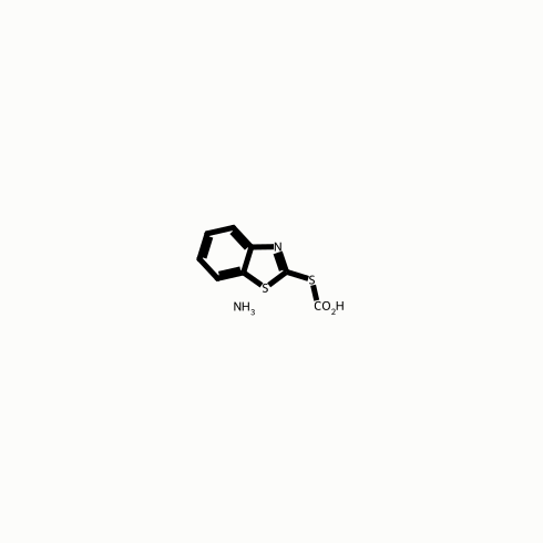 N.O=C(O)Sc1nc2ccccc2s1